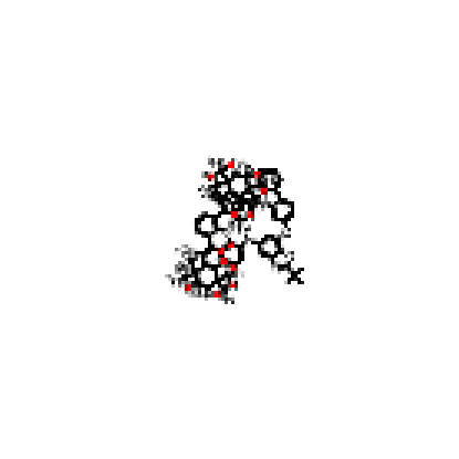 [2H]c1c([2H])c2c(c([2H])c1-c1cccc(-c3c([2H])c([2H])c4c(c3[2H])C(C([2H])([2H])[2H])(C([2H])([2H])[2H])C([2H])([2H])C([2H])([2H])C4(C([2H])([2H])[2H])C([2H])([2H])[2H])c1Nc1ccccc1Nc1cc(Oc3ccc4c5ccccc5n(-c5cc(C(C)(C)C)ccn5)c4c3)c3oc(C(C)(C)C)nc3c1)C(C([2H])([2H])[2H])(C([2H])([2H])[2H])C([2H])([2H])C([2H])([2H])C2(C([2H])([2H])[2H])C([2H])([2H])[2H]